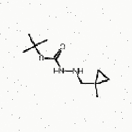 [CH2]C1(CNNC(=O)OC(C)(C)C)CC1